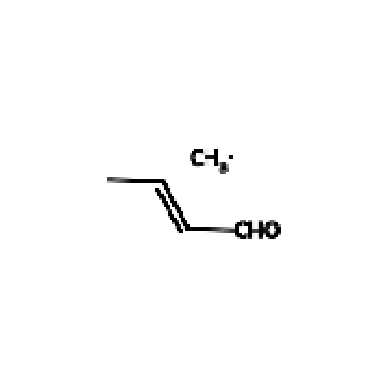 CC=CC=O.[CH3]